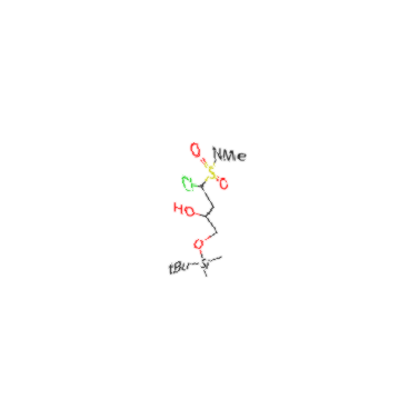 CNS(=O)(=O)C(Cl)CC(O)CO[Si](C)(C)C(C)(C)C